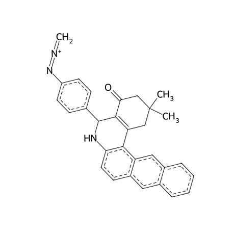 C=[N+]=Nc1ccc(C2Nc3ccc4cc5ccccc5cc4c3C3=C2C(=O)CC(C)(C)C3)cc1